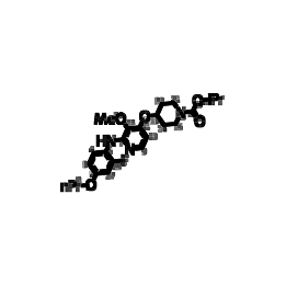 CCCOc1ccc(Nc2nccc(OC3CCN(C(=O)OC(C)C)CC3)c2OC)c(F)c1